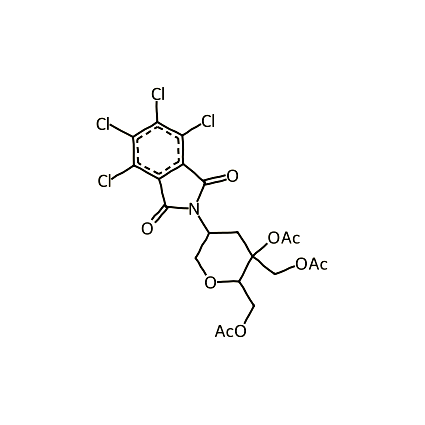 CC(=O)OCC1OCC(N2C(=O)c3c(Cl)c(Cl)c(Cl)c(Cl)c3C2=O)CC1(COC(C)=O)OC(C)=O